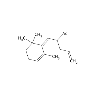 C=CCC(C=C1C(C)=CCCC1(C)C)C(C)=O